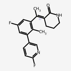 C/C(=C1/CCCNC1=O)c1cc(F)cc(-c2ccc(F)nc2)c1C